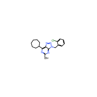 CC(C)(C)c1nc(C2CCCCCC2)c2nnn(Cc3ccccc3Cl)c2n1